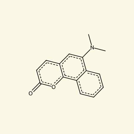 CN(C)c1cc2ccc(=O)oc2c2ccccc12